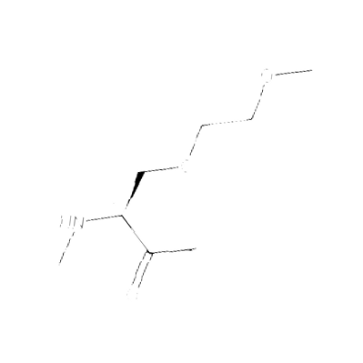 CN[C@@H](COCCOC)C(C)=O